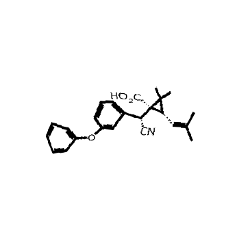 CC(C)=C[C@H]1C(C)(C)[C@]1(C(=O)O)[C@H](C#N)c1cccc(Oc2ccccc2)c1